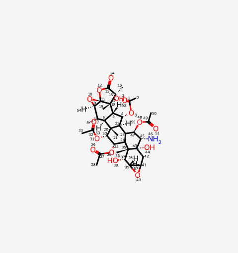 CC(=O)O[C@H]1[C@@H]2[C@H]([C@H](C)[C@H]3O[C@]34OC(=O)[C@@](C)(O)[C@]24C)[C@]2(C)[C@@H]1C1C([C@H](OC(C)=O)[C@@H]2OC(C)=O)[C@@]2(C)[C@@H](O)[C@H]3O[C@H]3C[C@]2(O)[C@@H](N)[C@@H]1OC(C)=O